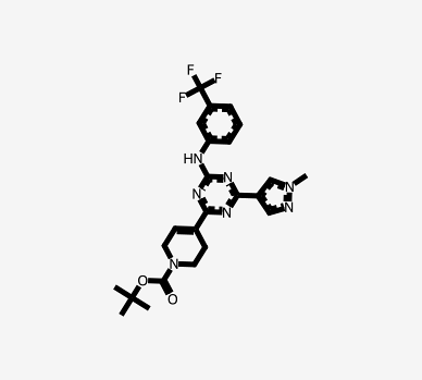 Cn1cc(-c2nc(Nc3cccc(C(F)(F)F)c3)nc(C3=CCN(C(=O)OC(C)(C)C)CC3)n2)cn1